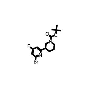 CC(C)(C)OC(=O)N1CCCC(c2cc(F)cc(Br)n2)C1